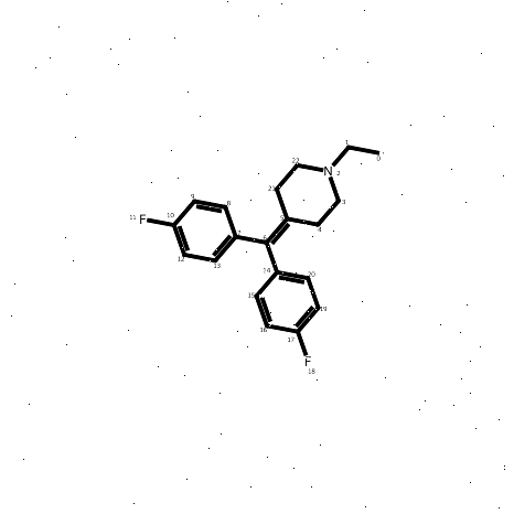 [CH2]CN1CCC(=C(c2ccc(F)cc2)c2ccc(F)cc2)CC1